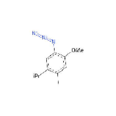 COc1cc(C)c(C(C)C)cc1N=[N+]=[N-]